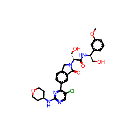 COc1cccc([C@@H](CO)NC(=O)[C@@H](CO)N2Cc3ccc(-c4nc(NC5CCOCC5)ncc4Cl)cc3C2=O)c1